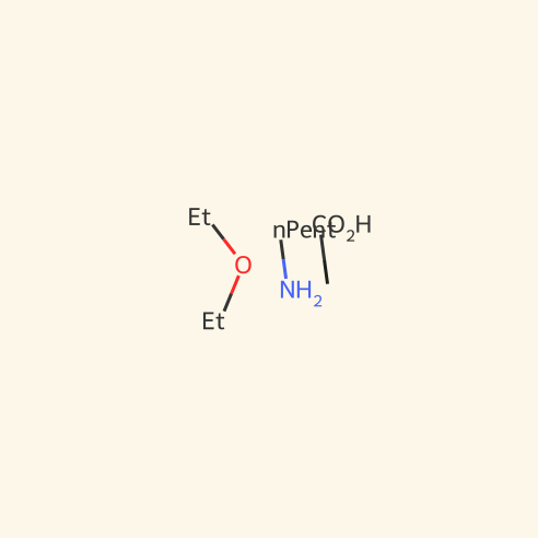 CC(=O)O.CCCCCN.CCOCC